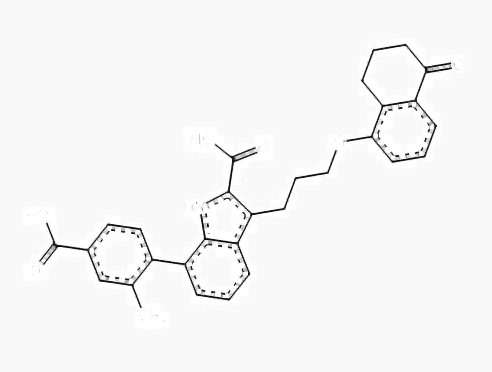 Cc1cc(C(=O)O)ccc1-c1cccc2c(CCCOc3cccc4c3CCCC4=O)c(C(=O)O)[nH]c12